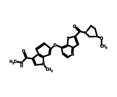 CNC(=O)c1cn(C)c2cc(Oc3ccnc4cc(C(=O)N5CCC(OC)C5)sc34)ccc12